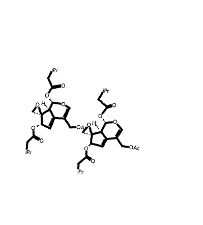 CC(=O)OCC1=CO[C@@H](OC(=O)CC(C)C)[C@H]2C1=C[C@H](OC(=O)CC(C)C)[C@]21CO1.CC(=O)OCC1=CO[C@@H](OC(=O)CC(C)C)[C@H]2C1=C[C@H](OC(=O)CC(C)C)[C@]21CO1